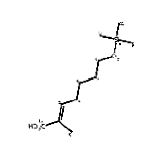 CC(=CCCCCO[Si](C)(C)C)C(=O)O